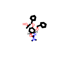 CN(C)C1=N[C@H]2[C@@H](OCc3ccccc3)[C@H](OCc3ccccc3)[C@@H](C(C)(C)O)C[C@@H]2O1